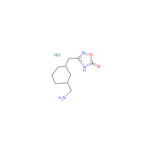 Cl.NCC1CCCC(Cc2noc(=O)[nH]2)C1